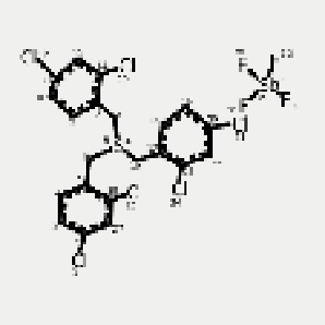 Clc1ccc(C[S+](Cc2ccc(Cl)cc2Cl)Cc2ccc(Cl)cc2Cl)c(Cl)c1.[F][Sb-]([F])([F])[F]